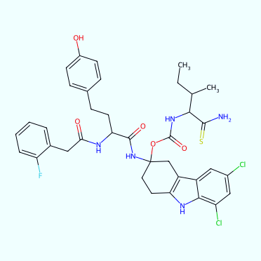 CCC(C)C(NC(=O)OC1(NC(=O)C(CCc2ccc(O)cc2)NC(=O)Cc2ccccc2F)CCc2[nH]c3c(Cl)cc(Cl)cc3c2C1)C(N)=S